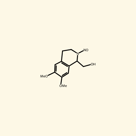 COc1cc2c(cc1OC)C(CO)N(N=O)CC2